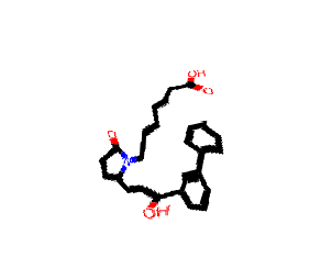 O=C(O)CCCCCCN1C(=O)CCC1C=CC(O)c1cccc(-c2ccccc2)c1